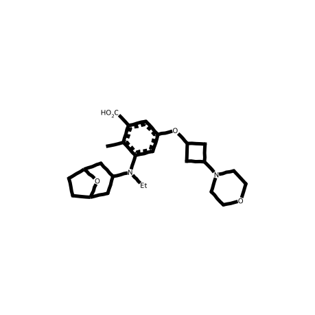 CCN(c1cc(OC2CC(N3CCOCC3)C2)cc(C(=O)O)c1C)C1CC2CCC(C1)O2